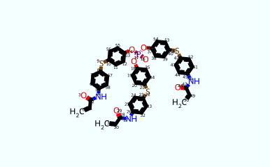 C=CC(=O)Nc1ccc(Sc2ccc(OP(=O)(Oc3ccc(Sc4ccc(NC(=O)C=C)cc4)cc3)Oc3ccc(Sc4ccc(NC(=O)C=C)cc4)cc3)cc2)cc1